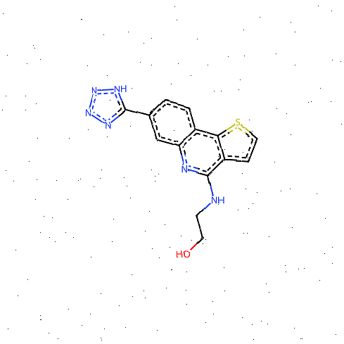 OCCNc1nc2cc(-c3nnn[nH]3)ccc2c2sccc12